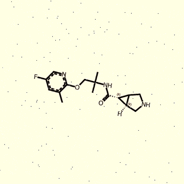 Cc1cc(F)cnc1OCC(C)(C)NC(=O)[C@@H]1C2CNC[C@H]21